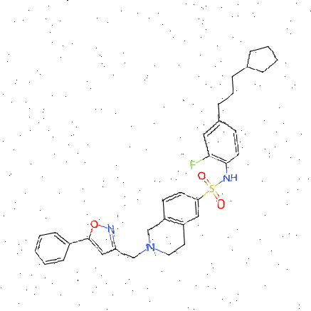 O=S(=O)(Nc1ccc(CCCC2CCCC2)cc1F)c1ccc2c(c1)CCN(Cc1cc(-c3ccccc3)on1)C2